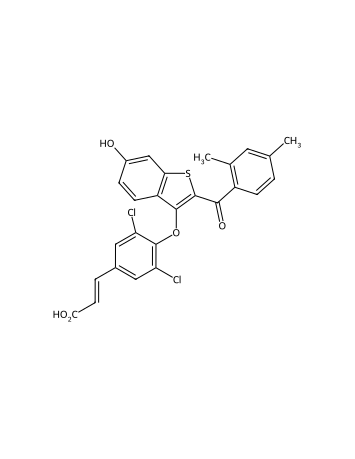 Cc1ccc(C(=O)c2sc3cc(O)ccc3c2Oc2c(Cl)cc(/C=C/C(=O)O)cc2Cl)c(C)c1